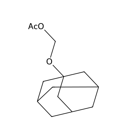 CC(=O)OCOC12CC3CC(CC(C3)C1)C2